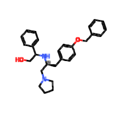 OCC(N[C@@H](Cc1ccc(OCc2ccccc2)cc1)CN1CCCC1)c1ccccc1